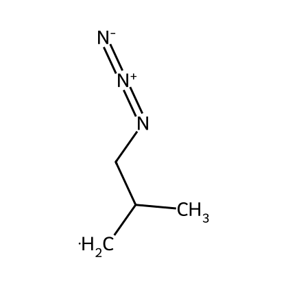 [CH2]C(C)CN=[N+]=[N-]